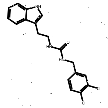 O=C(NCCc1c[nH]c2ccccc12)NCc1ccc(Cl)c(Cl)c1